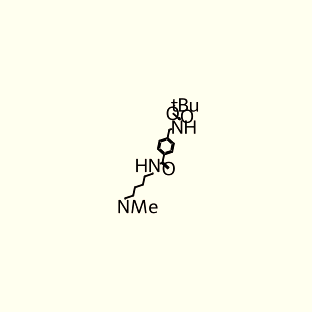 CNCCCCCCNC(=O)c1ccc(CNC(=O)OC(C)(C)C)cc1